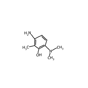 Cc1c(N)ccc(N(C)C)c1O